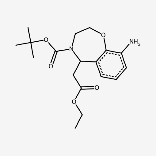 CCOC(=O)CC1c2cccc(N)c2OCCN1C(=O)OC(C)(C)C